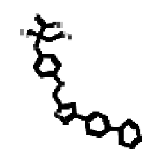 CCC(C)(Oc1ccc(OCc2cc(-c3ccc(-c4ccccc4)cc3)no2)cc1)C(=O)O